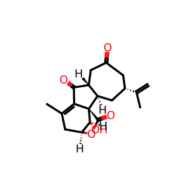 C=C(C)[C@H]1CC(=O)C[C@H]2C(=O)C3=C(C)C[C@@H]4OC(=O)[C@@]3([C@@H]2C1)[C@H]4O